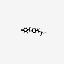 O=C(O)CCC(=O)c1ccc(NC(=O)c2ccc(F)cc2F)cc1